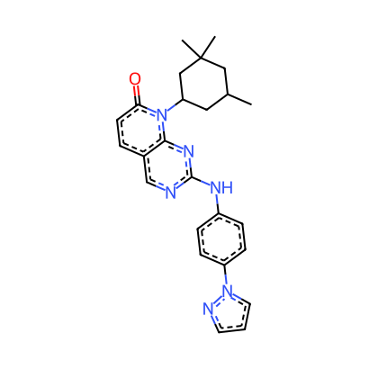 CC1CC(n2c(=O)ccc3cnc(Nc4ccc(-n5cccn5)cc4)nc32)CC(C)(C)C1